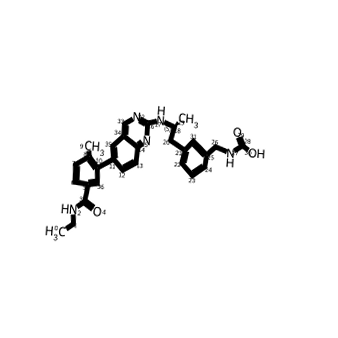 CCNC(=O)c1ccc(C)c(-c2ccc3nc(N[C@@H](C)Cc4cccc(CNC(=O)O)c4)ncc3c2)c1